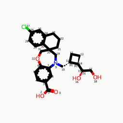 O=C(O)c1ccc2c(c1)N(C[C@@H]1CC[C@H]1[C@H](O)CO)CC1(CCCc3cc(Cl)ccc31)CO2